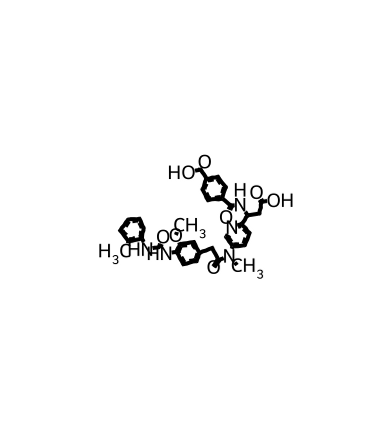 COc1cc(CC(=O)N(C)c2ccc(C(CC(=O)O)NC(=O)c3ccc(C(=O)O)cc3)nc2)ccc1NC(=O)Nc1ccccc1C